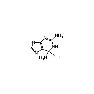 NC1=NC2=C(N=C[N]2)C(N)(N)N1